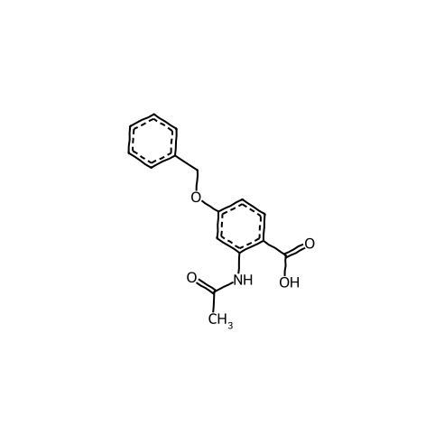 CC(=O)Nc1cc(OCc2ccccc2)ccc1C(=O)O